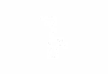 O=c1[nH]c(C=Cc2cccc(F)c2)nc2ccccc12